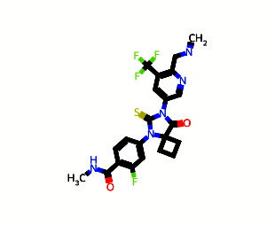 C=NCc1ncc(N2C(=O)C3(CCC3)N(c3ccc(C(=O)NC)c(F)c3)C2=S)cc1C(F)(F)F